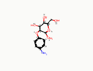 Nc1ccc(OC2C(O)OC(CO)C(O)C2O)cc1